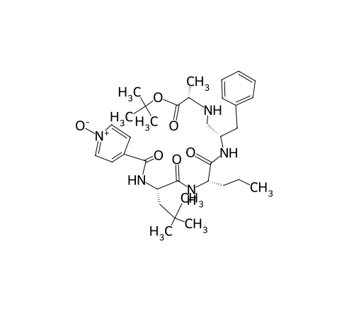 CCC[C@H](NC(=O)[C@H](CC(C)(C)C)NC(=O)c1cc[n+]([O-])cc1)C(=O)N[C@H](CN[C@@H](C)C(=O)OC(C)(C)C)Cc1ccccc1